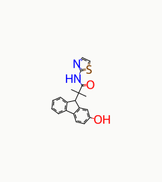 CC(C)(C(=O)Nc1nccs1)C1c2ccccc2-c2ccc(O)cc21